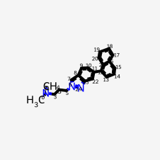 CN(C)CCCn1cc2ccc(-c3cccc4ccccc34)cc2n1